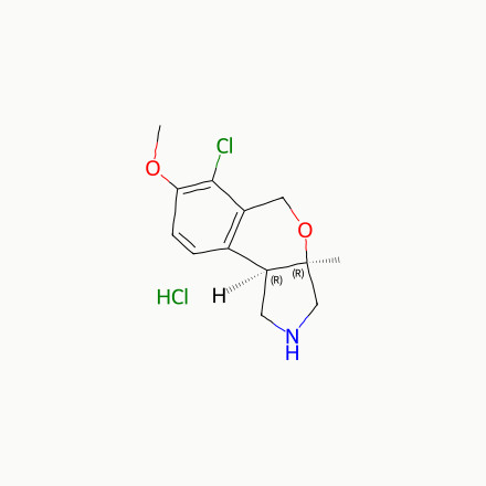 COc1ccc2c(c1Cl)CO[C@@]1(C)CNC[C@@H]21.Cl